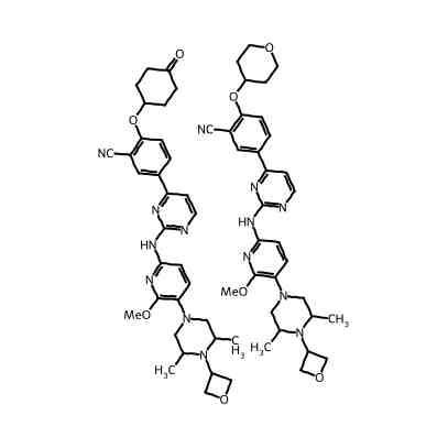 COc1nc(Nc2nccc(-c3ccc(OC4CCC(=O)CC4)c(C#N)c3)n2)ccc1N1CC(C)N(C2COC2)C(C)C1.COc1nc(Nc2nccc(-c3ccc(OC4CCOCC4)c(C#N)c3)n2)ccc1N1CC(C)N(C2COC2)C(C)C1